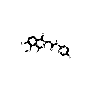 COc1c(Br)ccc2c(=O)n(CC(=O)Nc3ncc(F)cn3)nc(Cl)c12